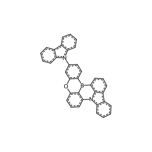 c1cc2c3c(c1)-n1c4ccccc4c4cccc(c41)B3c1ccc(-n3c4ccccc4c4ccccc43)cc1O2